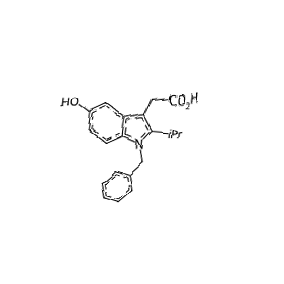 CC(C)c1c(CC(=O)O)c2cc(O)ccc2n1Cc1ccccc1